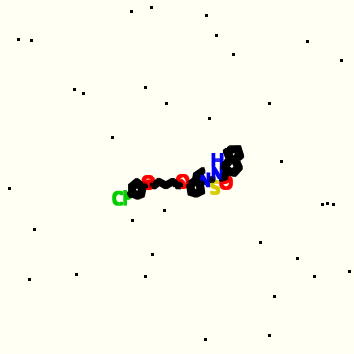 O=C(NC(=S)N1CCc2c(OCCCCCOc3ccc(Cl)cc3)cccc21)c1ccc2ccccc2c1